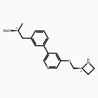 CO[C@@H](C)Cc1cccc(-c2cncc(OC[C@@H]3CCN3)c2)c1